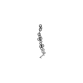 CCC1(COCCCCOc2ccc(OC(=O)c3ccc4cc(C(=O)OC5CCC6(C)C(=CCC7C6CCC6(C)C(C(C)CCCC(C)C)CCC76)C5)ccc4c3)cc2)COC1